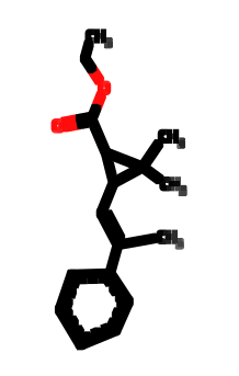 CCOC(=O)C1C(C=C(C)c2ccccc2)C1(C)C